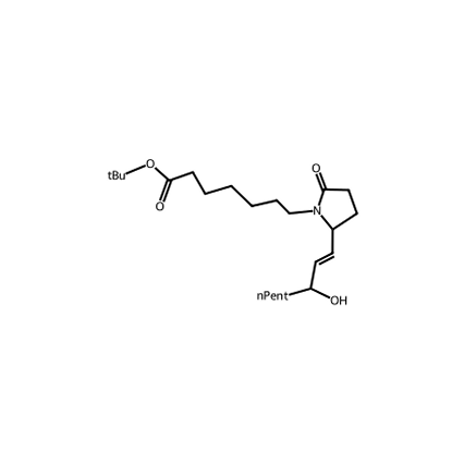 CCCCCC(O)/C=C/C1CCC(=O)N1CCCCCCC(=O)OC(C)(C)C